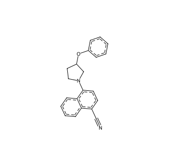 N#Cc1ccc(N2CCC(Oc3ccccc3)C2)c2ccccc12